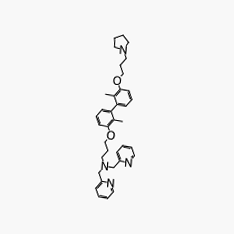 Cc1c(OCCCN2CCCC2)cccc1-c1cccc(OCCCN(Cc2ccccn2)Cc2ccccn2)c1C